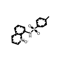 Cc1ccc(S(=O)(=O)Nc2cccc3ccc[n+]([O-])c23)cc1